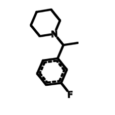 CC(c1cccc(F)c1)N1CCCCC1